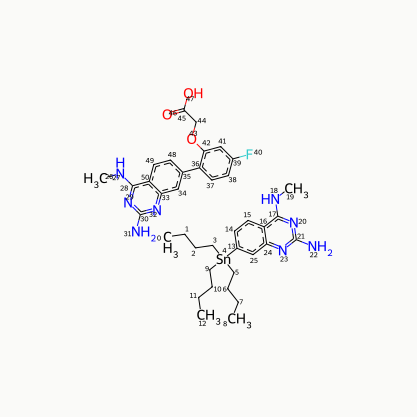 CCC[CH2][Sn]([CH2]CCC)([CH2]CCC)[c]1ccc2c(NC)nc(N)nc2c1.CNc1nc(N)nc2cc(-c3ccc(F)cc3OCC(=O)O)ccc12